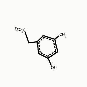 CCOC(=O)Cc1cc(C)cc(O)c1